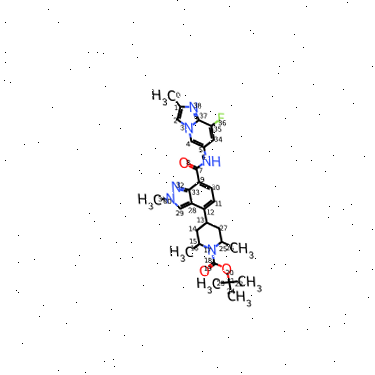 Cc1cn2cc(NC(=O)c3ccc(C4CC(C)N(C(=O)OC(C)(C)C)C(C)C4)c4cn(C)nc34)cc(F)c2n1